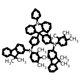 Cc1ccc(N(c2ccc(C3(c4ccc(N(c5ccc6c(c5)C(C)(C)c5ccccc5-6)c5ccc(C)c(C)c5C)cc4)c4ccccc4N(c4ccccc4)c4ccccc43)cc2)c2ccc3c(c2)C(C)(C)c2ccccc2-3)c(C)c1C